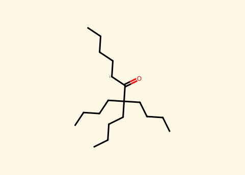 CCCC[C]C(=O)C(CCCC)(CCCC)CCCC